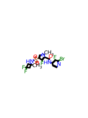 Cn1cc(S(=O)(=O)NC2(C)CC(F)(F)C2)c(F)c1C(=O)Nc1ccnc(Br)c1F